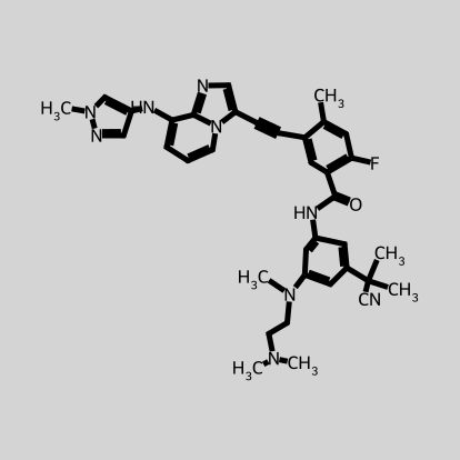 Cc1cc(F)c(C(=O)Nc2cc(N(C)CCN(C)C)cc(C(C)(C)C#N)c2)cc1C#Cc1cnc2c(Nc3cnn(C)c3)cccn12